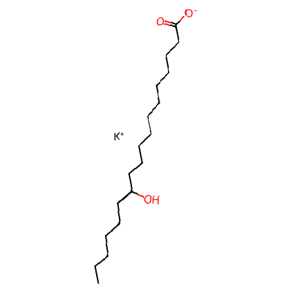 CCCCCCC(O)CCCCCCCCCCC(=O)[O-].[K+]